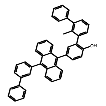 Cc1c(-c2ccccc2)cccc1-c1cc(-c2c3ccccc3c(-c3cccc(-c4ccccc4)c3)c3ccccc23)ccc1O